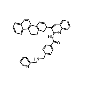 O=C(Nc1nc2ccccc2cc1C1C=CC2=C(CCc3c2ccc2ccccc32)C1)c1ccc(CNCc2ccccn2)cc1